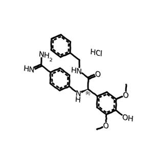 COc1cc([C@@H](Nc2ccc(C(=N)N)cc2)C(=O)NCc2ccccc2)cc(OC)c1O.Cl